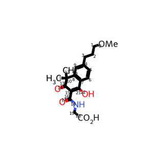 COCCCc1ccc2c(c1)C(C)(C)C(=O)C(C(=O)NCC(=O)O)=C2O